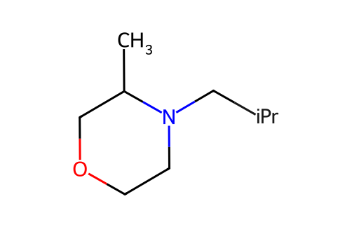 CC(C)CN1CCOCC1C